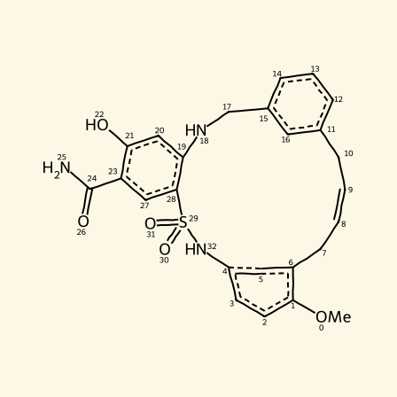 COc1ccc2cc1C/C=C\Cc1cccc(c1)CNc1cc(O)c(C(N)=O)cc1S(=O)(=O)N2